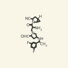 CC(NC1CC(C=O)N(CC(N)C(=O)N2C(C#N)C[C@@H]3CC32)C1)c1cc(F)cc(F)c1